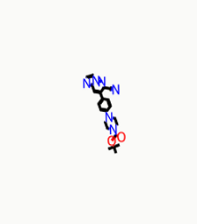 CC(C)(C)OC(=O)N1CCN(c2ccc(-c3cc4nccn4nc3C#N)cc2)CC1